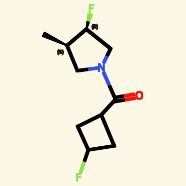 C[C@@H]1CN(C(=O)C2CC(F)C2)C[C@@H]1F